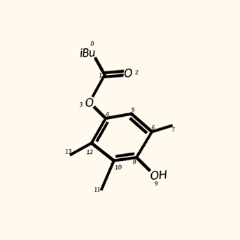 CCC(C)C(=O)Oc1cc(C)c(O)c(C)c1C